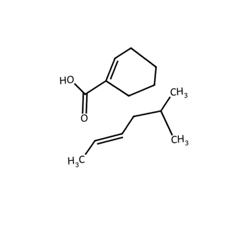 CC=CCC(C)C.O=C(O)C1=CCCCC1